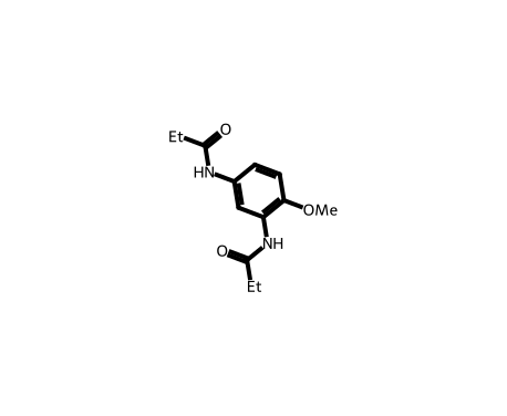 CCC(=O)Nc1ccc(OC)c(NC(=O)CC)c1